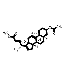 COC(=O)/C=C/[C@@H](C)C1=CC[C@H]2[C@@H]3CC[C@@H]4C[C@H](OC(C)=O)CC[C@]4(C)C3=CC[C@]12C